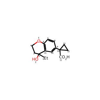 CCC1(O)CCOc2ccc(C3(C(=O)O)CC3)cc21